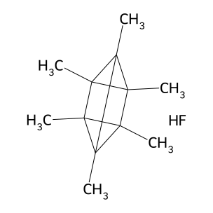 CC12C3(C)C1(C)C1(C)C2(C)C31C.F